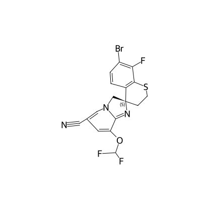 N#CC1=CN2C[C@@]3(CCSc4c3ccc(Br)c4F)N=C2C(OC(F)F)=C1